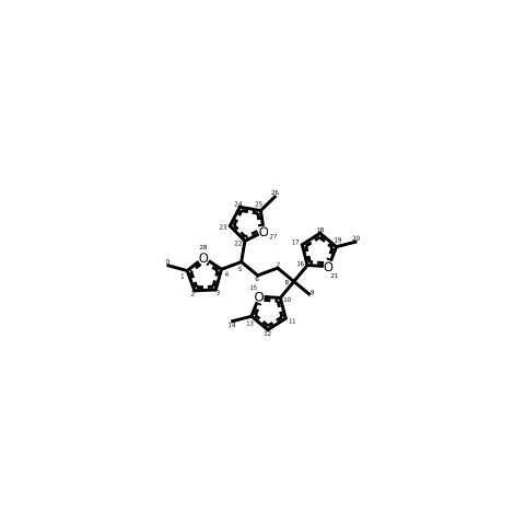 Cc1ccc(C(CCC(C)(c2ccc(C)o2)c2ccc(C)o2)c2ccc(C)o2)o1